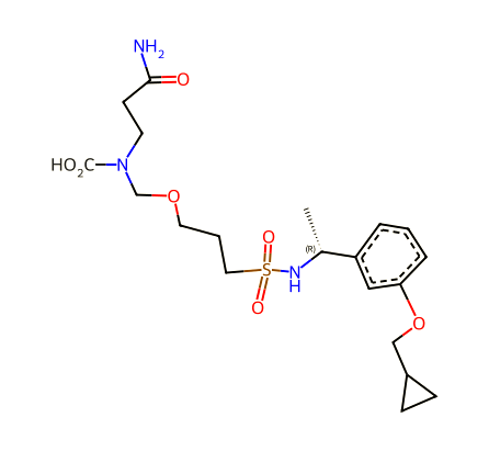 C[C@@H](NS(=O)(=O)CCCOCN(CCC(N)=O)C(=O)O)c1cccc(OCC2CC2)c1